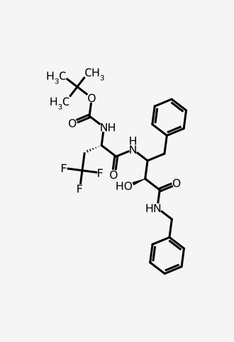 CC(C)(C)OC(=O)N[C@@H](CC(F)(F)F)C(=O)NC(Cc1ccccc1)[C@H](O)C(=O)NCc1ccccc1